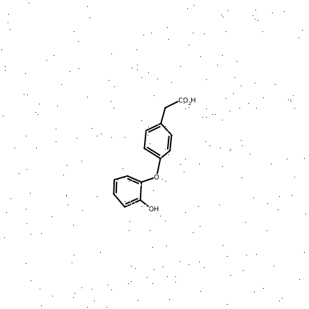 O=C(O)Cc1ccc(Oc2ccccc2O)cc1